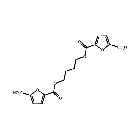 O=C(O)c1ccc(C(=O)OCCCCOC(=O)c2ccc(C(=O)O)o2)o1